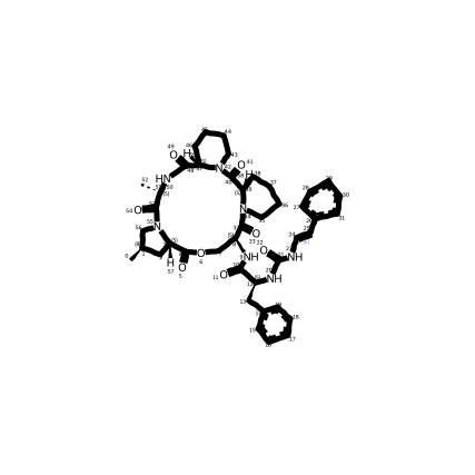 C[C@@H]1C[C@H]2C(=O)OC[C@H](NC(=O)[C@H](Cc3ccccc3)NC(=O)N/C=C/c3ccccc3)C(=O)N3CCCC[C@H]3C(=O)N3CCCC[C@H]3C(=O)N[C@@H](C)C(=O)N2C1